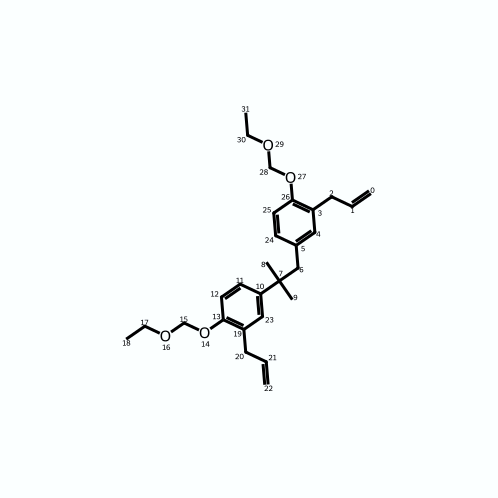 C=CCc1cc(CC(C)(C)c2ccc(OCOCC)c(CC=C)c2)ccc1OCOCC